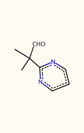 CC(C)([C]=O)c1ncccn1